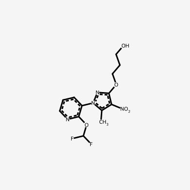 Cc1c([N+](=O)[O-])c(OCCCO)nn1-c1cccnc1OC(F)F